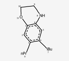 CCCc1cc2c(cc1C(C)CC)NCCO2